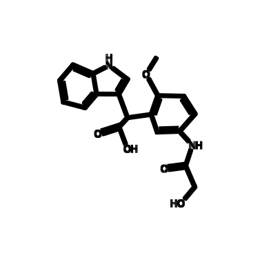 COc1ccc(NC(=O)CO)cc1C(C(=O)O)c1c[nH]c2ccccc12